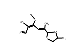 C=C/C(O)=C(\C=C(/C)C1OCC(C)O1)OCC